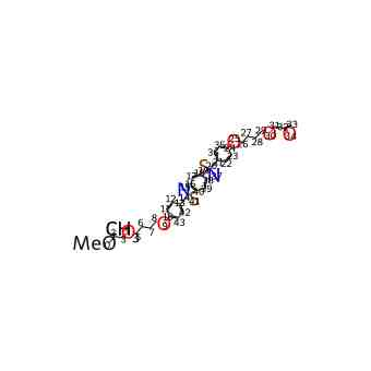 COC(C)COCCCCOc1ccc(-c2nc3cc4sc(-c5ccc(OCCCCOCC6CO6)cc5)nc4cc3s2)cc1